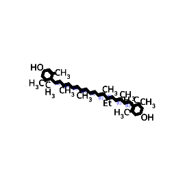 CCC(=C\C=C(C)\C=C\C1=C(C)CC(O)CC1(C)C)/C(C)=C/C=C/C=C(C)/C=C/C=C(C)/C=C/C1C(C)=CC(O)CC1(C)C